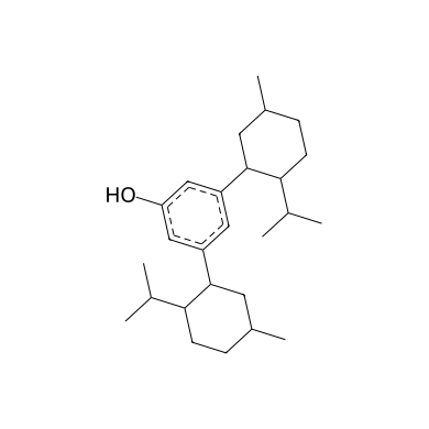 CC1CCC(C(C)C)C(c2cc(O)cc(C3CC(C)CCC3C(C)C)c2)C1